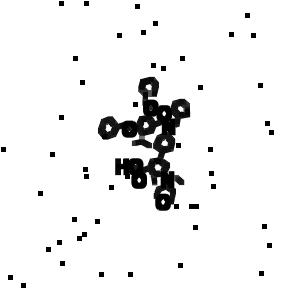 CCN(c1cc(-c2ccc(N(Cc3ccccc3)C(=O)c3cc(C(C)C)c(OCc4ccccc4)cc3OCc3ccccc3)cc2)cc(C(=O)O)c1C)C1CCOCC1